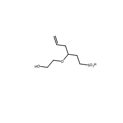 C=CCC(CCS(=O)(=O)O)OCCO